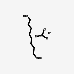 CCCCCCCCCCCCCCCCCC=O.[Cl][Al]([Cl])[Cl].[Cr]